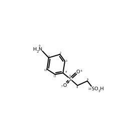 Nc1ccc(S(=O)(=O)CCS(=O)(=O)O)cc1